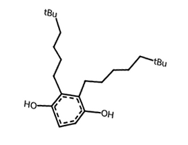 CC(C)(C)CCCCCc1c(O)ccc(O)c1CCCCC(C)(C)C